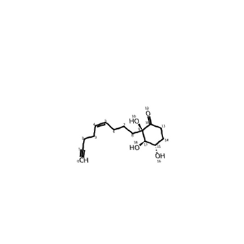 C#CCC/C=C\CCC[C@]1(O)C(=O)CC[C@H](O)[C@H]1O